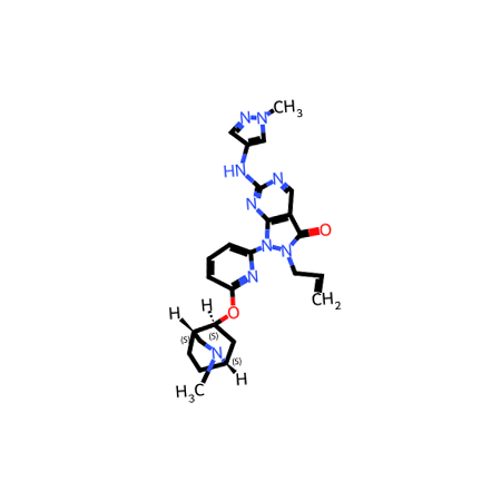 C=CCn1c(=O)c2cnc(Nc3cnn(C)c3)nc2n1-c1cccc(O[C@H]2C[C@@H]3CC[C@H]2CN3C)n1